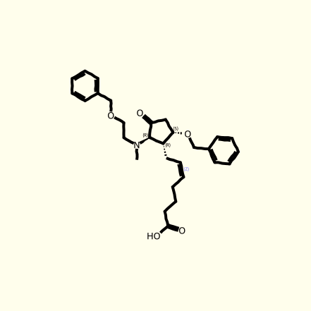 CN(CCOCc1ccccc1)[C@H]1C(=O)C[C@H](OCc2ccccc2)[C@@H]1C/C=C\CCCC(=O)O